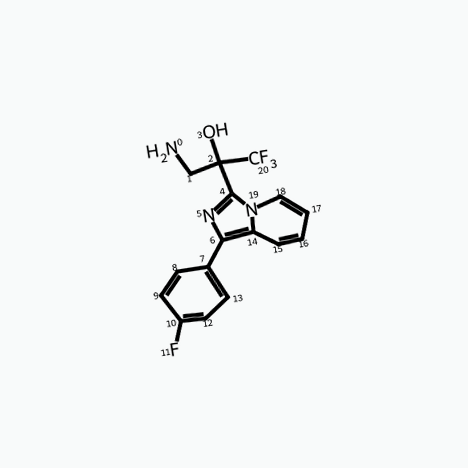 NCC(O)(c1nc(-c2ccc(F)cc2)c2ccccn12)C(F)(F)F